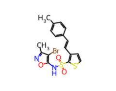 Cc1ccc(C=Cc2ccsc2S(=O)(=O)Nc2onc(C)c2Br)cc1